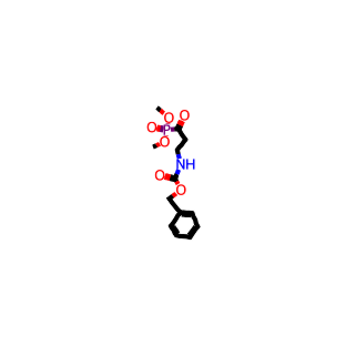 COP(=O)(OC)C(=O)CCNC(=O)OCc1ccccc1